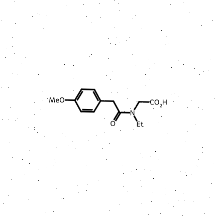 CCN([CH]C(=O)O)C(=O)Cc1ccc(OC)cc1